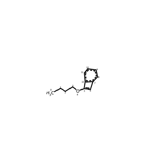 CCCCOC1=Cc2ccccc21